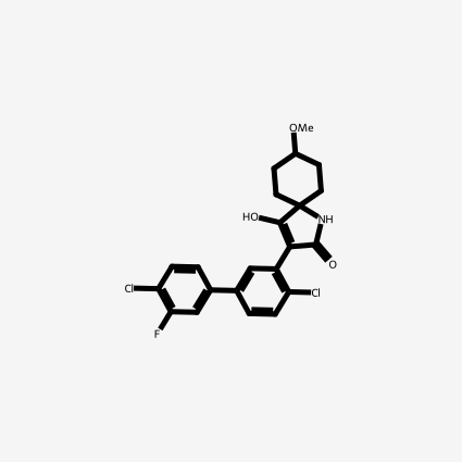 COC1CCC2(CC1)NC(=O)C(c1cc(-c3ccc(Cl)c(F)c3)ccc1Cl)=C2O